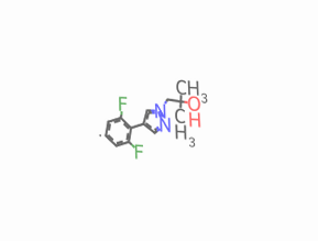 CC(C)(O)Cn1cc(-c2c(F)c[c]cc2F)cn1